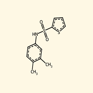 Cc1ccc(NS(=O)(=O)c2cccs2)cc1C